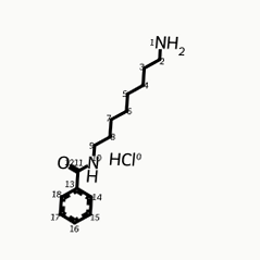 Cl.NCCCCCCCCNC(=O)c1ccccc1